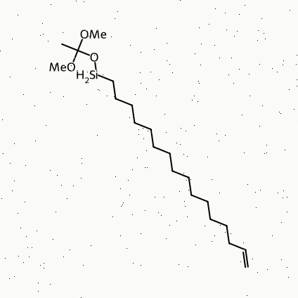 C=CCCCCCCCCCCCCCC[SiH2]OC(C)(OC)OC